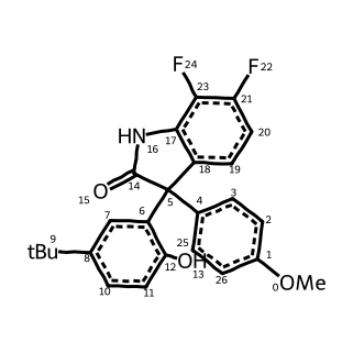 COc1ccc(C2(c3cc(C(C)(C)C)ccc3O)C(=O)Nc3c2ccc(F)c3F)cc1